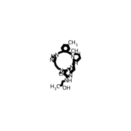 C=C1c2cc(C)ccc2Cn2cc(nn2)CCN(C)c2cc(NCC(C)O)nc3cc(nn23)[C@@H]2C=CCCN12